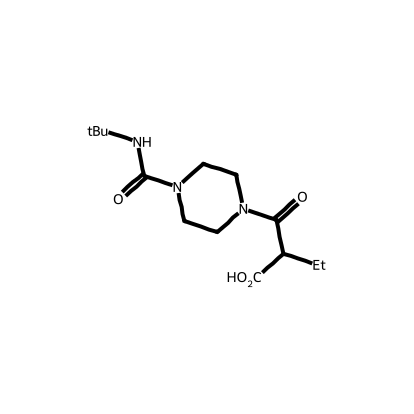 [CH2]CC(C(=O)O)C(=O)N1CCN(C(=O)NC(C)(C)C)CC1